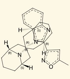 Cc1cc(-c2nc3ccccc3n2[C@H]2C[C@H]3CCC[C@@H](C2)N3[C@H]2C[C@@H]3CCC[C@@H](C3)C2)no1